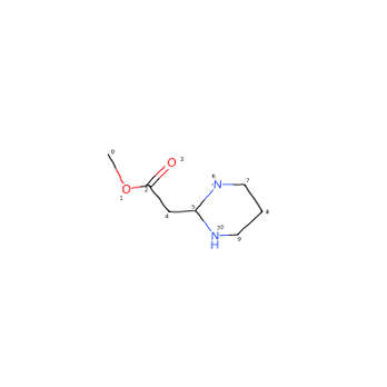 COC(=O)CC1[N]CCCN1